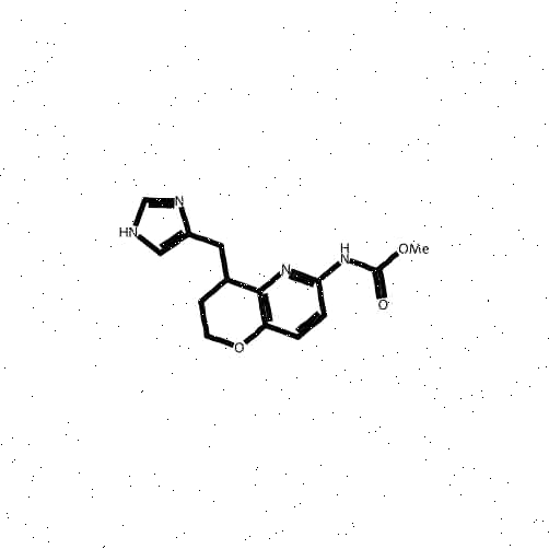 COC(=O)Nc1ccc2c(n1)C(Cc1c[nH]cn1)CCO2